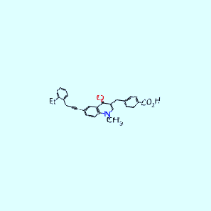 CCc1ccccc1CC#Cc1ccc2c(c1)C(=O)C(Cc1ccc(C(=O)O)cc1)CN2C